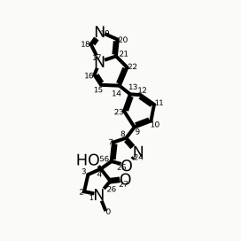 CN1CCC(O)(c2cc(-c3cccc(-c4ccn5cncc5c4)c3)no2)C1=O